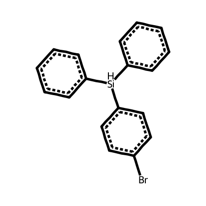 Brc1ccc([SiH](c2ccccc2)c2ccccc2)cc1